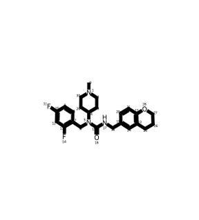 CN1CCC(N(Cc2ccc(F)cc2F)C(=O)NCc2ccc3c(c2)CCCO3)CC1